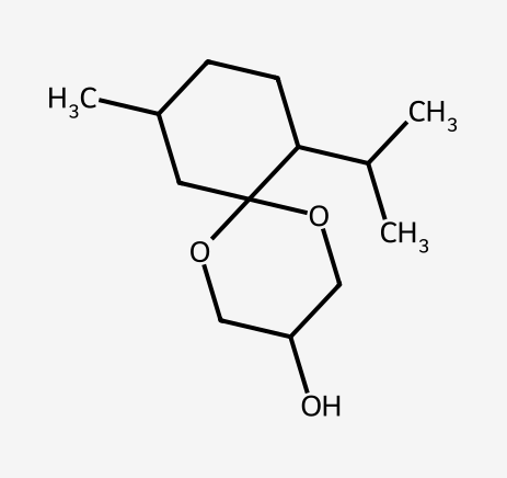 CC1CCC(C(C)C)C2(C1)OCC(O)CO2